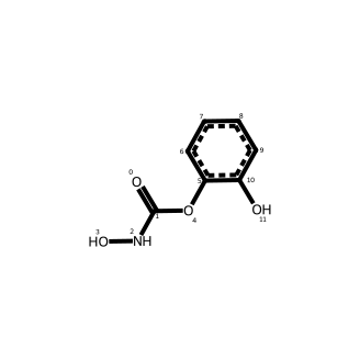 O=C(NO)Oc1ccccc1O